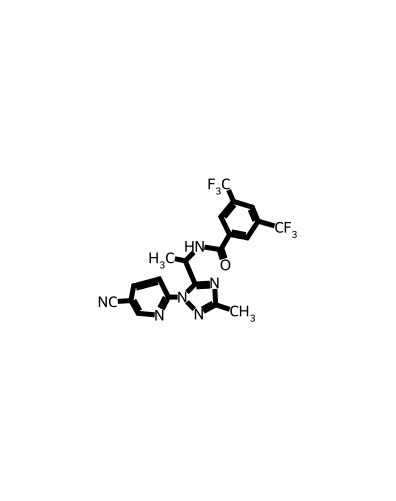 Cc1nc(C(C)NC(=O)c2cc(C(F)(F)F)cc(C(F)(F)F)c2)n(-c2ccc(C#N)cn2)n1